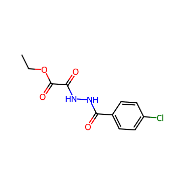 CCOC(=O)C(=O)NNC(=O)c1ccc(Cl)cc1